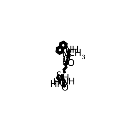 CC1(COC(=O)CCCC[C@H]2SC[C@H]3NC(=O)N[C@H]32)Nc2cccc3cccc(c23)N1